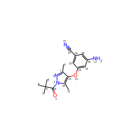 Cc1nn(C(=O)C(C)(C)C)c(C)c1Oc1cc(N)cc(C#N)c1